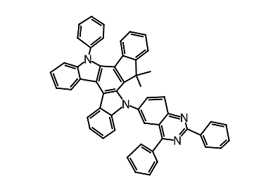 CC1(C)c2ccccc2-c2c1c1c(c3ccccc3n1-c1ccc3nc(-c4ccccc4)nc(-c4ccccc4)c3c1)c1c3ccccc3n(-c3ccccc3)c21